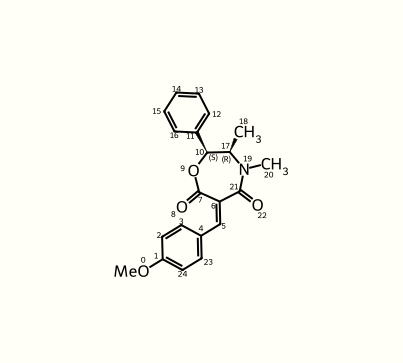 COc1ccc(C=C2C(=O)O[C@@H](c3ccccc3)[C@@H](C)N(C)C2=O)cc1